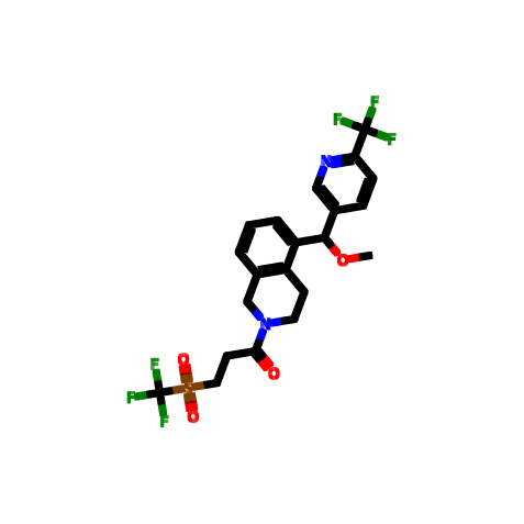 COC(c1ccc(C(F)(F)F)nc1)c1cccc2c1CCN(C(=O)CCS(=O)(=O)C(F)(F)F)C2